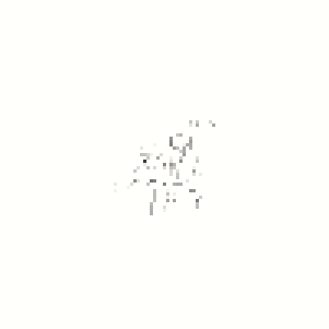 COCC(C)(C)NC(=O)c1cc(Cl)cc(Br)c1NC(=O)c1cc(OC2CSC2)nn1-c1ncccc1Cl